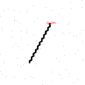 C/C=C/C/C=C/C/C=C/C/C=C/C/C=C/C/C=C/CCCC(=O)O